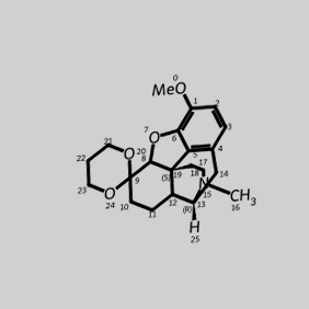 COc1ccc2c3c1OC1C4(CCC5[C@@H](C2)N(C)CC[C@@]351)OCCCO4